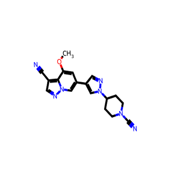 COc1cc(-c2cnn(C3CCN(C#N)CC3)c2)cn2ncc(C#N)c12